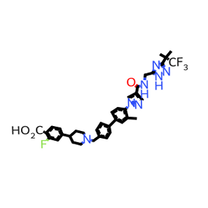 Cc1cc(-c2ccc(CN3CCC(c4ccc(C(=O)O)c(F)c4)CC3)cc2)ccc1-n1cc(C(=O)NCc2nc(C(C)(C)C(F)(F)F)n[nH]2)cn1